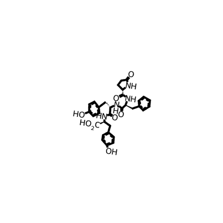 O=C1CC[C@@H](C(=O)N[C@@H](Cc2ccccc2)C(=O)N[C@@H](Cc2ccc(O)cc2)C(=O)N[C@@H](Cc2ccc(O)cc2)C(=O)O)N1